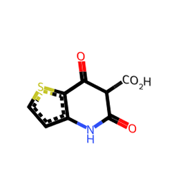 O=C(O)C1C(=O)Nc2ccsc2C1=O